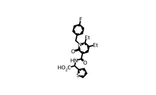 CCc1cc(C(=O)NC(C(=O)O)c2cccs2)c(=O)n(Cc2ccc(F)cc2)c1CC